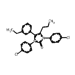 CCCc1c(-c2cccc(CC)c2)n(-c2ccc(Cl)cc2)c(=O)n1-c1ccc(Cl)cc1